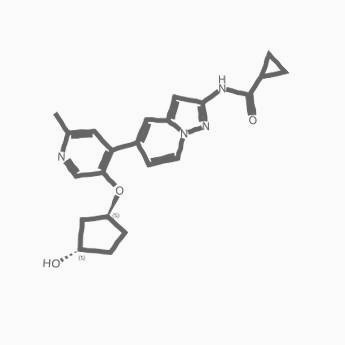 Cc1cc(-c2ccn3nc(NC(=O)C4CC4)cc3c2)c(O[C@H]2CC[C@H](O)C2)cn1